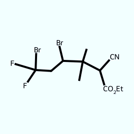 CCOC(=O)C(C#N)C(C)(C)C(Br)CC(F)(F)Br